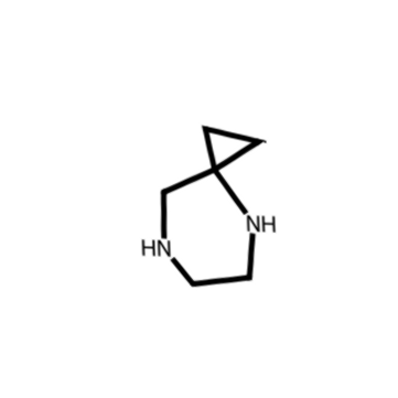 [CH]1CC12CNCCN2